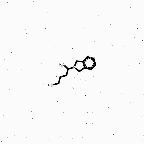 CCCCC(C)N1Cc2ccccc2C1